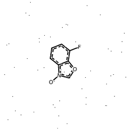 [O-][n+]1coc2c(F)cccc21